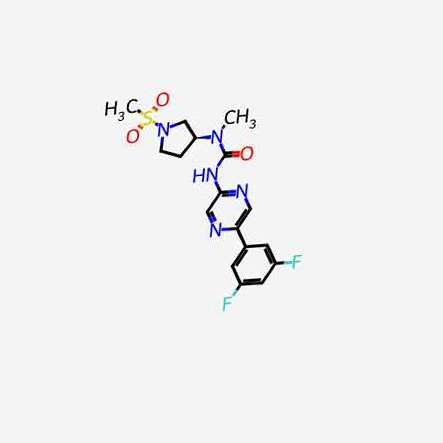 CN(C(=O)Nc1cnc(-c2cc(F)cc(F)c2)cn1)[C@H]1CCN(S(C)(=O)=O)C1